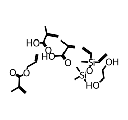 C=C(C)C(=O)O.C=C(C)C(=O)O.C=CCOC(=O)C(=C)C.C=C[Si](C)(C=C)O[Si](C)(C)C.OCCO